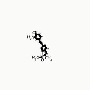 CC(=O)NC(C)Cc1ccc(C#Cc2ccc(Cl)c(N)c2)cc1